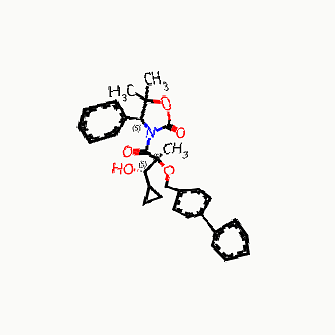 CC1(C)OC(=O)N(C(=O)[C@@](C)(OCc2ccc(-c3ccccc3)cc2)[C@@H](O)C2CC2)[C@H]1c1ccccc1